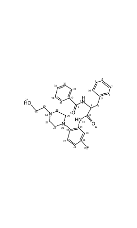 O=C(NC(Cc1ccccc1)C(=O)Nc1cc(F)ccc1N1CCN(CCO)CC1)c1ccccc1